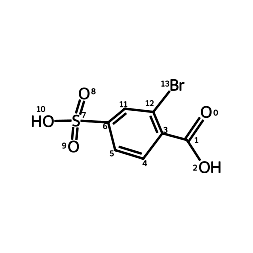 O=C(O)c1ccc(S(=O)(=O)O)cc1Br